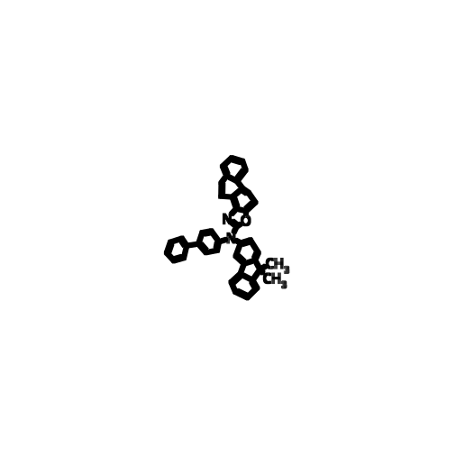 CC1(C)c2ccccc2-c2cc(N(c3ccc(-c4ccccc4)cc3)c3nc4c(ccc5c6ccccc6ccc54)o3)ccc21